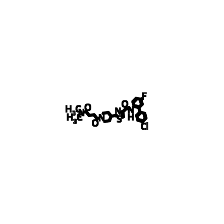 CN(C)C(=O)CCC(=O)N1CCC(c2nc(C(=O)Nc3ccc(F)cc3-c3ccc(Cl)cc3)cs2)CC1